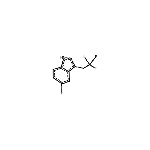 Fc1ccc2[nH]cc(CC(F)(F)F)c2c1